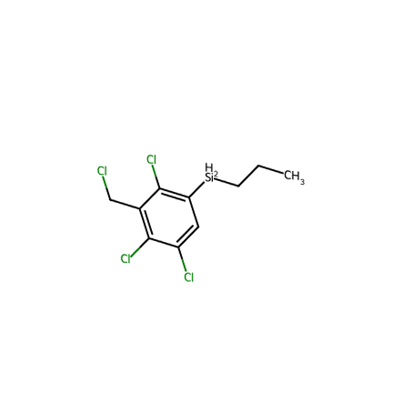 CCC[SiH2]c1cc(Cl)c(Cl)c(CCl)c1Cl